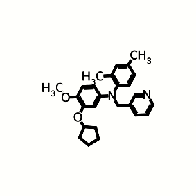 COc1ccc(N(Cc2cccnc2)c2ccc(C)cc2C)cc1OC1CCCC1